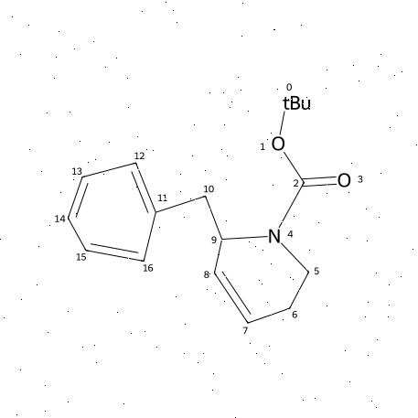 CC(C)(C)OC(=O)N1CCC=CC1Cc1ccccc1